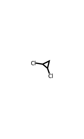 Cl[C]1CC1Cl